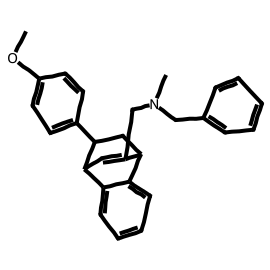 COc1ccc(C2CC3C(CN(C)Cc4ccccc4)=CC2c2ccccc23)cc1